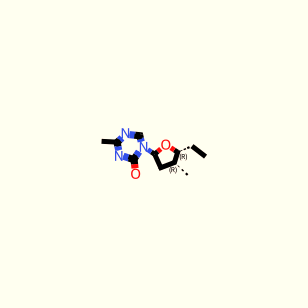 CC[C@H]1OC(n2cnc(C)nc2=O)C[C@H]1C